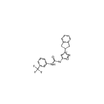 O=C([N-]c1c[n+](C2Cc3ccccc3C2)no1)Nc1cccc(C(F)(F)F)c1